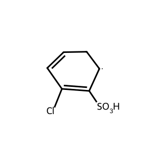 O=S(=O)(O)C1=C(Cl)C=CC[CH]1